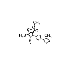 Bc1c(C#N)c(-c2ccc(-c3ccccc3C)cc2)c(C(=O)OCC)n1C